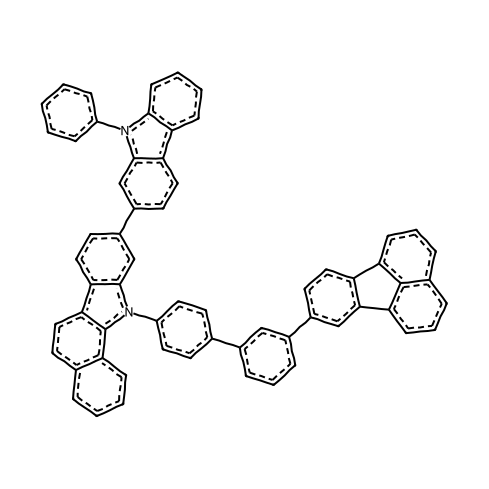 c1ccc(-n2c3ccccc3c3ccc(-c4ccc5c6ccc7ccccc7c6n(-c6ccc(-c7cccc(-c8ccc9c(c8)-c8cccc%10cccc-9c8%10)c7)cc6)c5c4)cc32)cc1